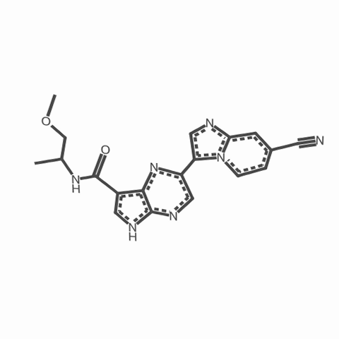 COCC(C)NC(=O)c1c[nH]c2ncc(-c3cnc4cc(C#N)ccn34)nc12